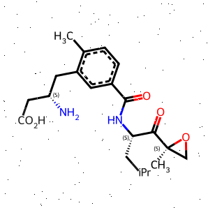 Cc1ccc(C(=O)N[C@@H](CC(C)C)C(=O)[C@]2(C)CO2)cc1C[C@H](N)CC(=O)O